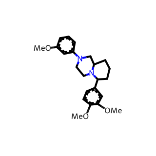 COc1cccc(N2CCN3C(CCCC3c3ccc(OC)c(OC)c3)C2)c1